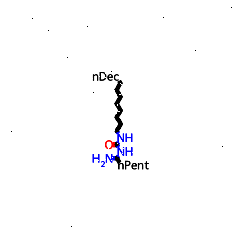 CCCCCCCCCCCCCCCCCCNC(=O)NC(N)CCCCC